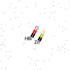 [O]=[BiH].[S]=[Zn]